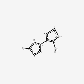 Cc1ccc(-c2ccsc2Br)s1